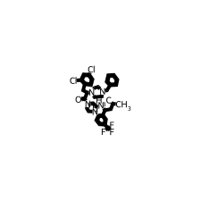 CC(C)CC(N)c1cc(C(F)(F)F)ccc1N1CCN(C(=O)C(Cc2ccc(Cl)cc2Cl)N2CCN(Cc3ccccc3)CC2)CC1